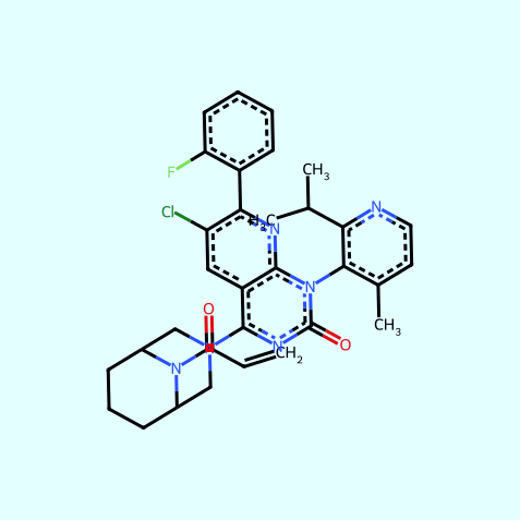 C=CC(=O)N1C2CCCC1CN(c1nc(=O)n(-c3c(C)ccnc3C(C)C)c3nc(-c4ccccc4F)c(Cl)cc13)C2